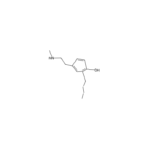 CCCCc1cc(CCNC)ccc1O